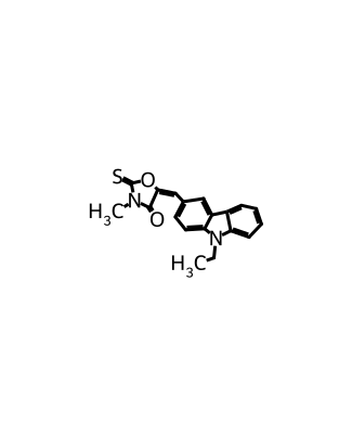 CCn1c2ccccc2c2cc(/C=C3/OC(=S)N(C)C3=O)ccc21